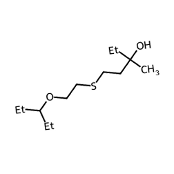 CCC(CC)OCCSCCC(C)(O)CC